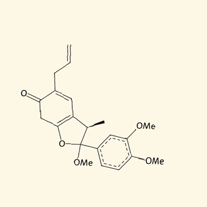 C=CCC1=CC2=C(CC1=O)OC(OC)(c1ccc(OC)c(OC)c1)[C@@H]2C